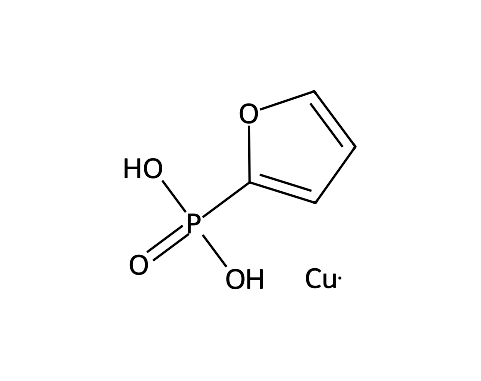 O=P(O)(O)c1ccco1.[Cu]